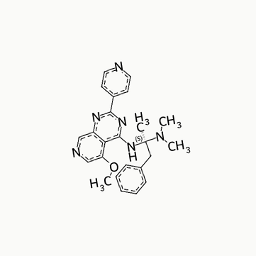 COc1cncc2nc(-c3ccncc3)nc(N[C@](C)(Cc3ccccc3)N(C)C)c12